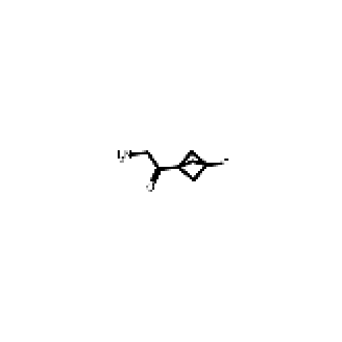 NCC(=O)C12CC(F)(C1)C2